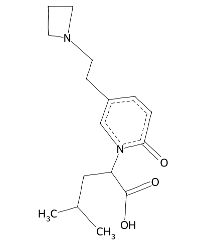 CC(C)CC(C(=O)O)n1cc(CCN2CCC2)ccc1=O